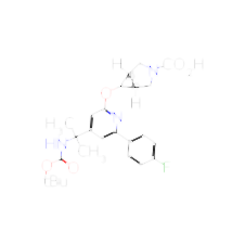 CC(C)(C)OC(=O)NC(C)(C)c1cc(OC2[C@H]3CN(C(=O)O)C[C@@H]23)nc(-c2ccc(F)cc2)c1